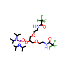 CC(C)N(C(C)C)P(OOC(COCCNC(=O)C(F)(F)F)COCCNC(=O)C(F)(F)F)N(C(C)C)C(C)C